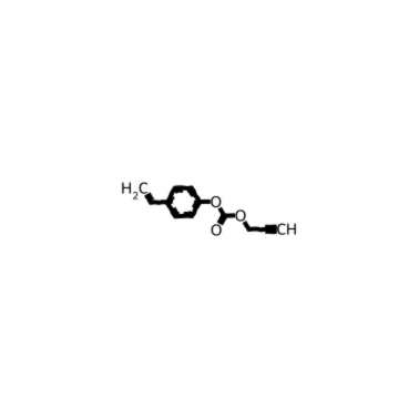 C#CCOC(=O)Oc1ccc(C=C)cc1